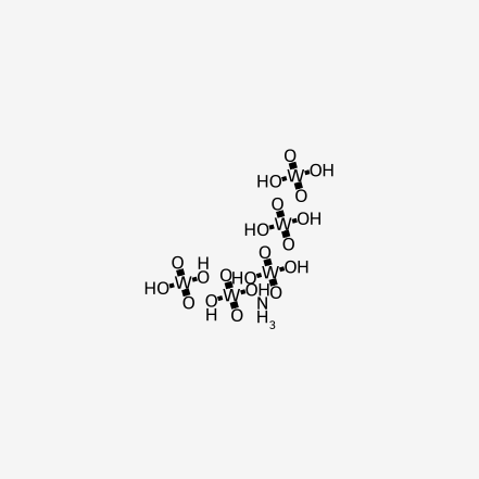 N.[O]=[W](=[O])([OH])[OH].[O]=[W](=[O])([OH])[OH].[O]=[W](=[O])([OH])[OH].[O]=[W](=[O])([OH])[OH].[O]=[W](=[O])([OH])[OH]